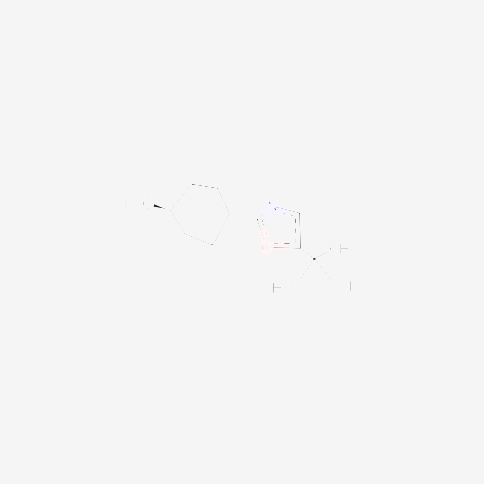 CC(C)(C)c1cnc([C@H]2CC[C@H](C)CC2)o1